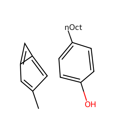 CCCCCCCCc1ccc(O)cc1.Cc1cc2cc-2c1